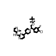 Cn1nccc1Nc1nccc(C2=CCN(C(CO[Si](C)(C)C(C)(C)C)c3ccc(Cl)c(F)c3)C=C2)n1